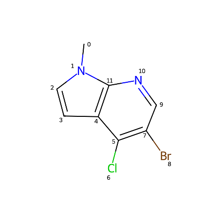 Cn1ccc2c(Cl)c(Br)cnc21